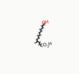 CC(CC/C=C/C/C=C/CCCO)CCC(=O)O